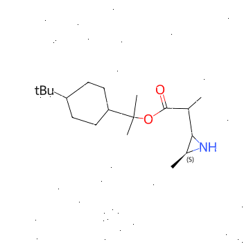 CC(C(=O)OC(C)(C)C1CCC(C(C)(C)C)CC1)C1N[C@H]1C